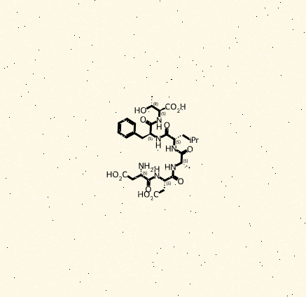 CC(C)C[C@H](NC(=O)[C@H](C)NC(=O)[C@H](CC(=O)O)NC(=O)[C@@H](N)CC(=O)O)C(=O)N[C@@H](Cc1ccccc1)C(=O)N[C@H](C(=O)O)[C@@H](C)O